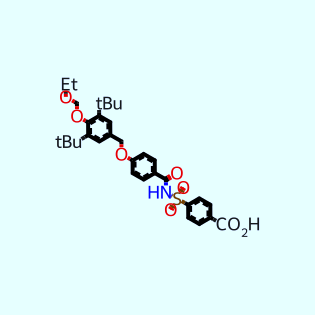 CCOCOc1c(C(C)(C)C)cc(COc2ccc(C(=O)NS(=O)(=O)c3ccc(C(=O)O)cc3)cc2)cc1C(C)(C)C